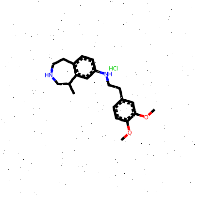 COc1ccc(CCNc2ccc3c(c2)C(C)CNCC3)cc1OC.Cl